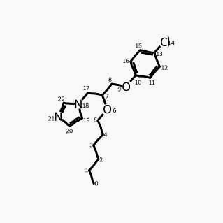 CCCCCCOC(COc1ccc(Cl)cc1)Cn1ccnc1